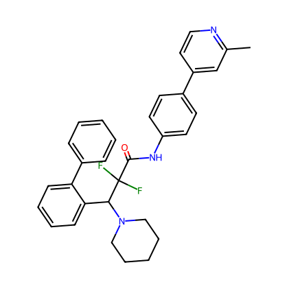 Cc1cc(-c2ccc(NC(=O)C(F)(F)C(c3ccccc3-c3ccccc3)N3CCCCC3)cc2)ccn1